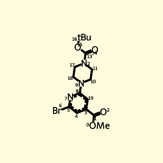 COC(=O)c1cc(Br)nc(N2CCN(C(=O)OC(C)(C)C)CC2)c1